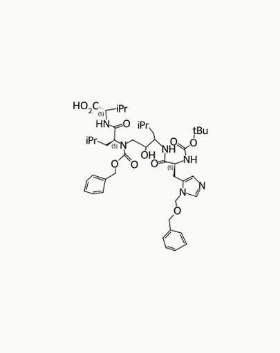 CC(C)CC(NC(=O)[C@H](Cc1cncn1COCc1ccccc1)NC(=O)OC(C)(C)C)C(O)CN(C(=O)OCc1ccccc1)[C@@H](CC(C)C)C(=O)N[C@H](C(=O)O)C(C)C